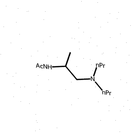 CCCN(CCC)CC(C)NC(C)=O